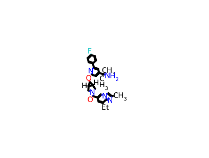 CCc1cc(C(=O)N2C[C@@H]3C(Oc4cc(C(C)(C)N)cc(-c5ccc(F)cc5)n4)[C@@H]3C2)cn2cc(C)nc12